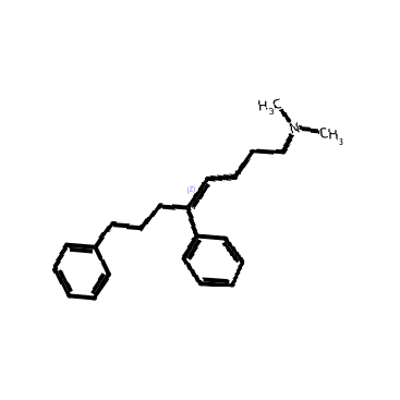 CN(C)CCC/C=C(/CCCc1ccccc1)c1ccccc1